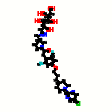 O=C(Cc1c(F)cc(OCCCC2CCN(c3ncc(Cl)cn3)CC2)cc1F)N1CC[C@@H](CNC[C@H](O)[C@@H](O)[C@H](O)[C@H](O)CO)C1